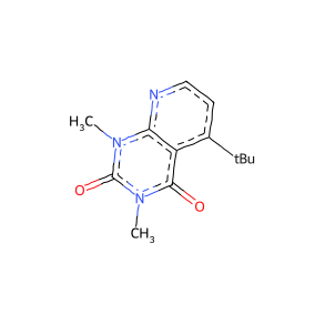 Cn1c(=O)c2c(C(C)(C)C)ccnc2n(C)c1=O